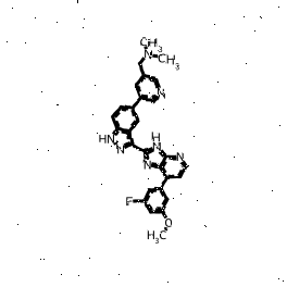 COc1cc(F)cc(-c2ccnc3[nH]c(-c4n[nH]c5ccc(-c6cncc(CN(C)C)c6)cc45)nc23)c1